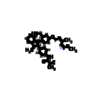 C=N/C=C\C(C)=N/COc1ccc2c(c1)CNc1ncnc3c1c-2c(-c1ccc(NC(=O)C(=C)F)cc1)n3C